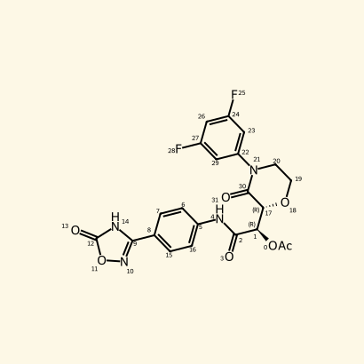 CC(=O)O[C@@H](C(=O)Nc1ccc(-c2noc(=O)[nH]2)cc1)[C@H]1OCCN(c2cc(F)cc(F)c2)C1=O